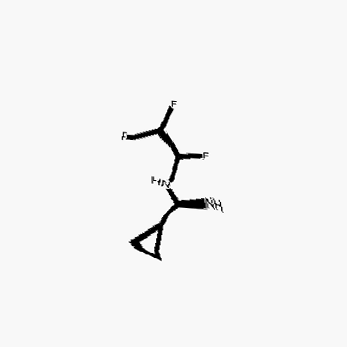 N=C(NC(F)C(F)F)C1CC1